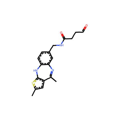 CC1=Nc2cc(CNC(=O)CCC=O)ccc2Nc2sc(C)cc21